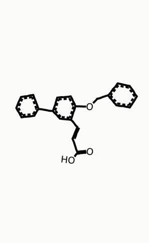 O=C(O)C=Cc1cc(-c2ccccc2)ccc1OCc1ccccc1